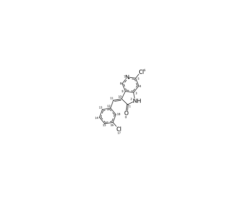 O=C1Nc2cc(Cl)ncc2C1=Cc1cccc(Cl)c1